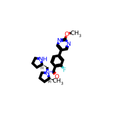 COc1ncc(-c2ccc(C(=O)[N+]3(C[C@@H]4CCCN4)CCC[C@H]3C)c(F)c2)cn1